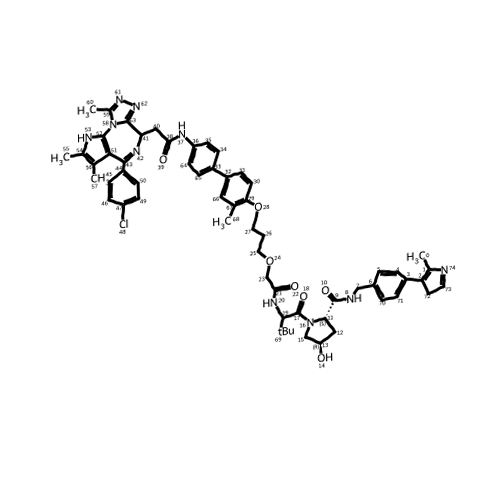 CC1=C(c2ccc(CNC(=O)[C@@H]3C[C@@H](O)CN3C(=O)C(NC(=O)COCCCOc3ccc(-c4ccc(NC(=O)CC5N=C(c6ccc(Cl)cc6)c6c([nH]c(C)c6C)-n6c(C)nnc65)cc4)cc3C)C(C)(C)C)cc2)CC=N1